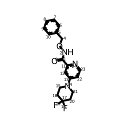 O=C(NOCc1ccccc1)c1cc(N2CCC(F)(F)CC2)ccn1